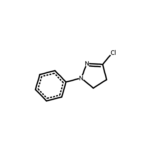 ClC1=NN(c2ccccc2)CC1